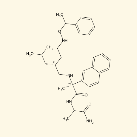 CC(C)C[C@H](CCNOC(C)c1ccccc1)CN[C@](C)(C(=O)NC(C)C(N)=O)c1ccc2ccccc2c1